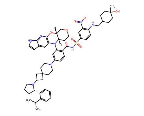 CC(C)c1ccccc1[C@@H]1CCCN1C1CC2(CCN(c3ccc(C(=O)NS(=O)(=O)c4ccc(NCC5CCC(C)(O)CC5)c([N+](=O)[O-])c4)c(N4c5cc6cc[nH]c6nc5O[C@@H]5COCC[C@@H]54)c3)CC2)C1